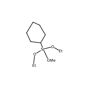 CCO[Si](OC)(OCC)C1CCCCC1